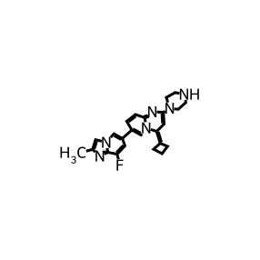 Cc1cn2cc(C3=CN4C(=NC(N5CCNCC5)=CC4=C4CCC4)C=C3)cc(F)c2n1